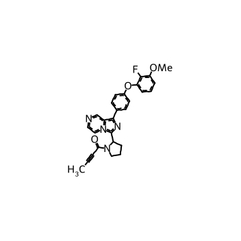 CC#CC(=O)N1CCCC1c1nc(-c2ccc(Oc3cccc(OC)c3F)cc2)c2cnccn12